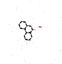 O=COc1cc2ccccc2c2ccccc12.[NaH]